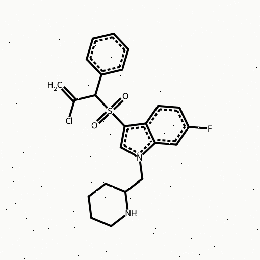 C=C(Cl)C(c1ccccc1)S(=O)(=O)c1cn(CC2CCCCN2)c2cc(F)ccc12